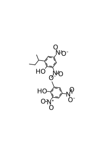 CCC(C)c1cc([N+](=O)[O-])cc([N+](=O)[O-])c1O.Cc1cc([N+](=O)[O-])cc([N+](=O)[O-])c1O